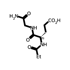 CCC(=O)N[C@@H](CCC(=O)O)C(=O)NCC(N)=O